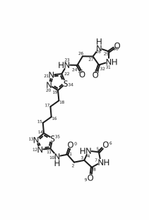 O=C(CC1NC(=O)NC1=O)Nc1nnc(CCCCc2nnc(NC(=O)CC3NC(=O)NC3=O)s2)s1